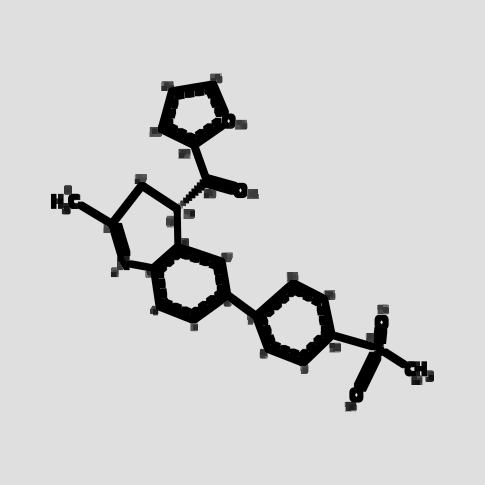 CC1=Nc2ccc(-c3ccc(S(C)(=O)=O)cc3)cc2[C@@H](C(=O)c2ccco2)C1